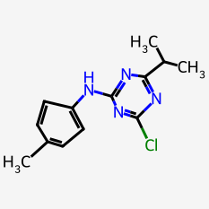 Cc1ccc(Nc2nc(Cl)nc(C(C)C)n2)cc1